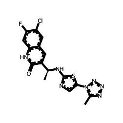 Cc1nnnn1-c1cnc(N[C@@H](C)c2cc3cc(Cl)c(F)cc3[nH]c2=O)s1